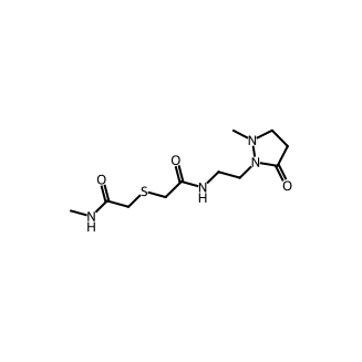 CNC(=O)CSCC(=O)NCCN1C(=O)CCN1C